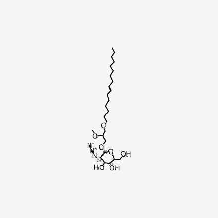 CCCCCCCCCCCCCCCCOCC(CO[C@@H]1OC(CO)[C@H](O)C(O)[C@@H]1N=[N+]=[N-])OC